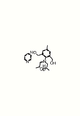 Cc1cc(CO)c(N(CC(C)O)CC(C)O)c(CO)c1.c1ccncc1